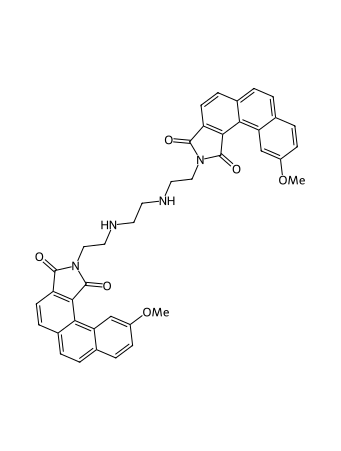 COc1ccc2ccc3ccc4c(c3c2c1)C(=O)N(CCNCCNCCN1C(=O)c2ccc3ccc5ccc(OC)cc5c3c2C1=O)C4=O